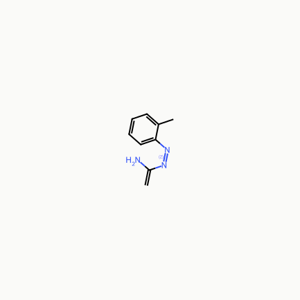 C=C(N)/N=N\c1ccccc1C